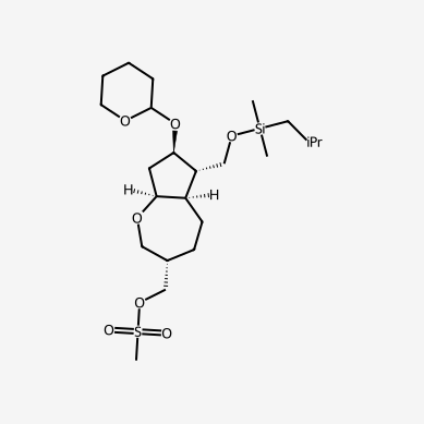 CC(C)C[Si](C)(C)OC[C@@H]1[C@H]2CC[C@H](COS(C)(=O)=O)CO[C@H]2C[C@H]1OC1CCCCO1